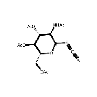 CC(=O)N[C@H]1C(N=C=S)O[C@H](COC(C)=O)[C@@H](OC(C)=O)[C@@H]1OC(C)=O